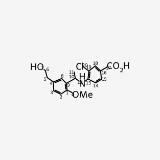 COc1ccc(CCO)cc1C(C)Nc1ccc(C(=O)O)cc1Cl